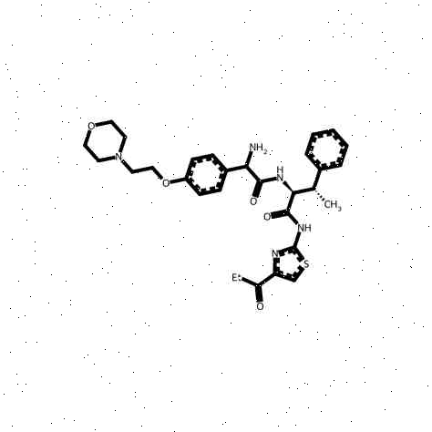 CCC(=O)c1csc(NC(=O)[C@@H](NC(=O)C(N)c2ccc(OCCN3CCOCC3)cc2)[C@@H](C)c2ccccc2)n1